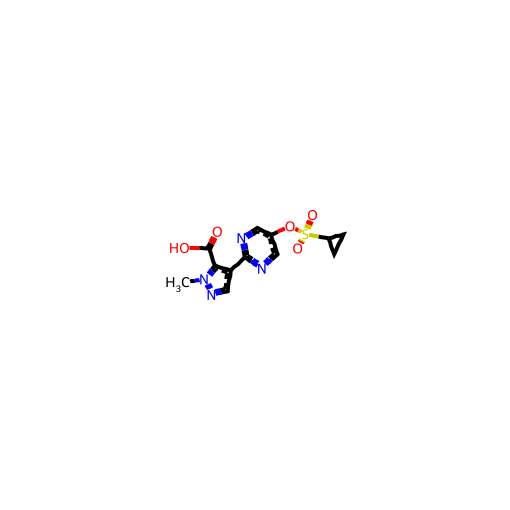 Cn1ncc(-c2ncc(OS(=O)(=O)C3CC3)cn2)c1C(=O)O